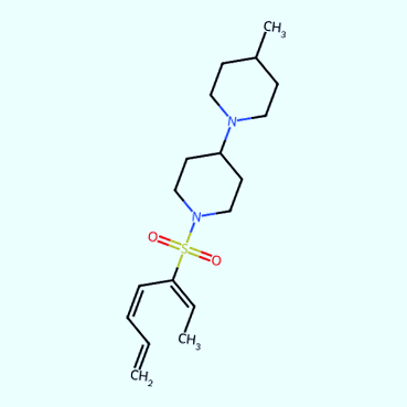 C=C/C=C\C(=C/C)S(=O)(=O)N1CCC(N2CCC(C)CC2)CC1